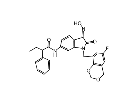 CCC(C(=O)Nc1ccc2c(c1)N(Cc1cc(F)cc3c1OCOC3)C(=O)/C2=N/O)c1ccccc1